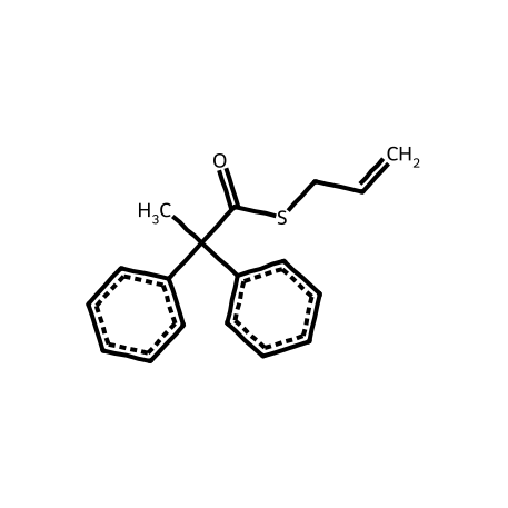 C=CCSC(=O)C(C)(c1ccccc1)c1ccccc1